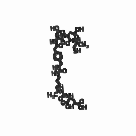 C[C@H](CCCCNC(=O)NCc1ccc(CC(=O)N[C@@H](CC(=O)O)C(=O)N[C@@H](CC(=O)O)C(=O)N[C@H](C)CS)cc1)NC(=O)N[C@@H](CCC(=O)O)C(=O)O